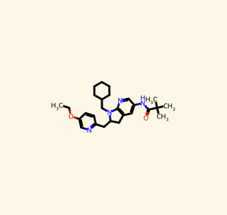 CCOc1ccc(CC2Cc3cc(NC(=O)C(C)(C)C)cnc3N2CC2CCCCC2)nc1